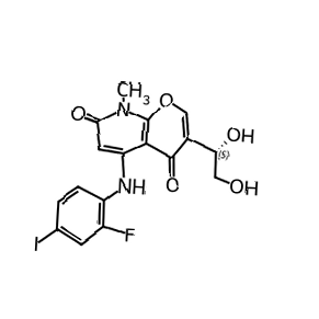 Cn1c(=O)cc(Nc2ccc(I)cc2F)c2c(=O)c([C@H](O)CO)coc21